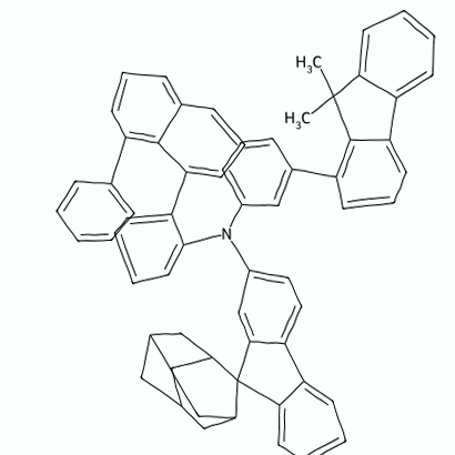 CC1(C)c2ccccc2-c2cccc(-c3cccc(N(c4ccc5c(c4)C4(c6ccccc6-5)C5CC6CC(C5)CC4C6)c4ccccc4-c4cccc5cccc(-c6ccccc6)c45)c3)c21